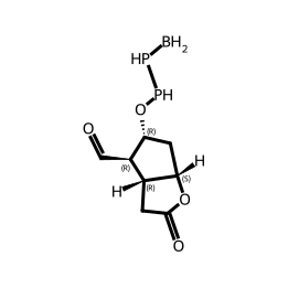 BPPO[C@@H]1C[C@@H]2OC(=O)C[C@@H]2[C@H]1C=O